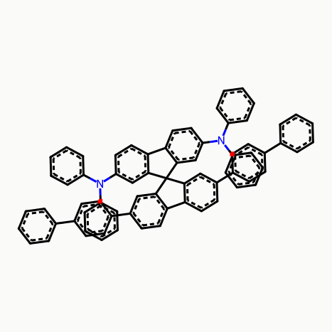 c1ccc(-c2ccc(-c3ccc4c(c3)C3(c5cc(-c6ccc(-c7ccccc7)cc6)ccc5-4)c4cc(N(c5ccccc5)c5ccccc5)ccc4-c4ccc(N(c5ccccc5)c5ccccc5)cc43)cc2)cc1